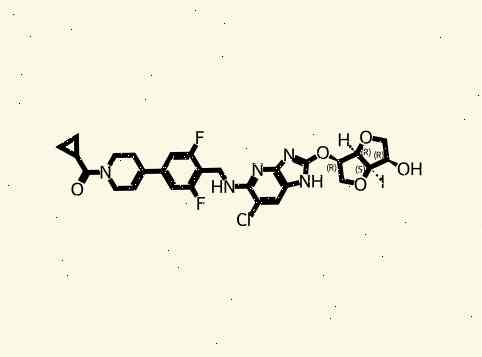 O=C(C1CC1)N1CC=C(c2cc(F)c(CNc3nc4nc(O[C@@H]5CO[C@]6(I)[C@H](O)CO[C@H]56)[nH]c4cc3Cl)c(F)c2)CC1